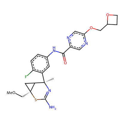 COC[C@]12CC1[C@@](C)(c1cc(NC(=O)c3cnc(OCC4CCO4)cn3)ccc1F)N=C(N)S2